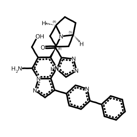 Nc1c(CO)c([C@H]2C[C@H]3CC[C@@H](C2)N3C(=O)c2nnc[nH]2)nc2c(-c3ccc(-c4ccccc4)nc3)cnn12